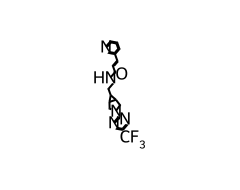 O=C(/C=C/c1cccnc1)NCCC1C2CN(c3ncc(C(F)(F)F)cn3)CC12